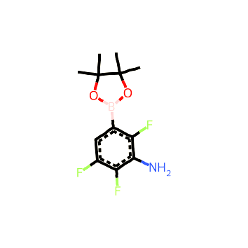 CC1(C)OB(c2cc(F)c(F)c(N)c2F)OC1(C)C